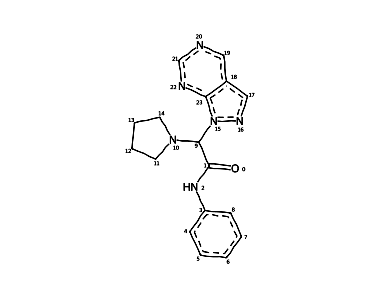 O=C(Nc1ccccc1)C(N1CCCC1)n1ncc2cncnc21